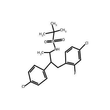 CC(NS(=O)(=O)C(C)(C)C)C(Cc1ccc(Cl)cc1F)c1ccc(Cl)cc1